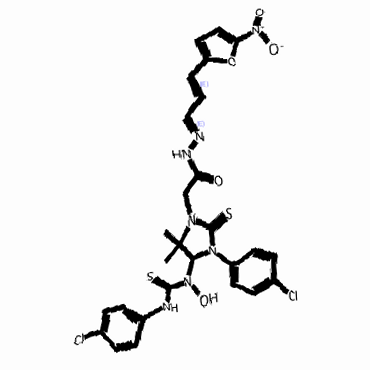 CC1(C)C(N(O)C(=S)Nc2ccc(Cl)cc2)N(c2ccc(Cl)cc2)C(=S)N1CC(=O)N/N=C/C=C/c1ccc([N+](=O)[O-])o1